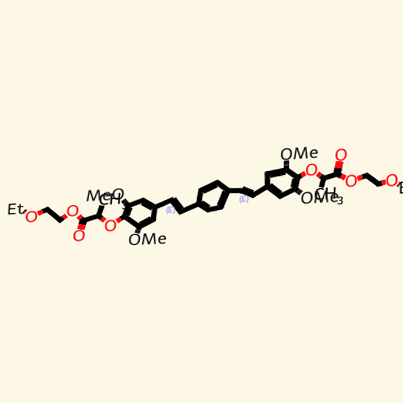 CCOCCOC(=O)C(C)Oc1c(OC)cc(/C=C/c2ccc(/C=C/c3cc(OC)c(OC(C)C(=O)OCCOCC)c(OC)c3)cc2)cc1OC